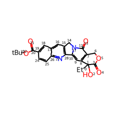 CCC1(O)C(=O)OCc2c1cc1n(c2=O)Cc2cc3cc(C(=O)OC(C)(C)C)ccc3nc2-1